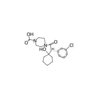 O=C(O)N1CCN(C(=O)[C@H](c2cccc(Cl)c2)C2(O)CCCCC2)CC1